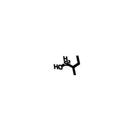 CCC(C)[SiH2]O